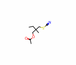 CCC(C)(COC(C)=O)CSC#N